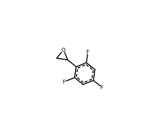 Fc1cc(F)c(C2CO2)c(F)c1